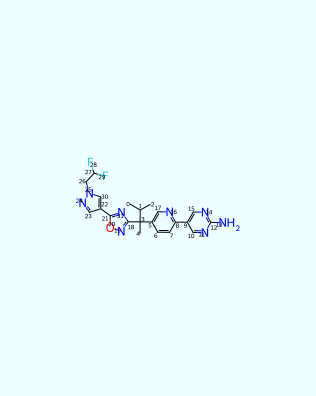 CC(C)C(C)(c1ccc(-c2cnc(N)nc2)nc1)c1noc(-c2cnn(CC(F)F)c2)n1